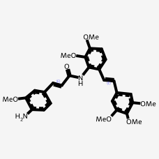 COc1cc(/C=C/C(=O)Nc2c(/C=C/c3cc(OC)c(OC)c(OC)c3)ccc(OC)c2OC)ccc1N